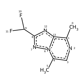 Cc1ncc(C)n2nc(C(F)F)nc12